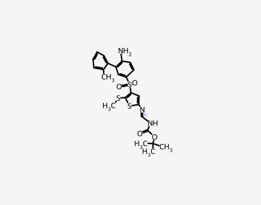 CSc1sc(/N=C/NC(=O)OC(C)(C)C)cc1S(=O)(=O)c1ccc(N)c(-c2ccccc2C)c1